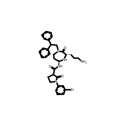 CCc1cccc(N2CCC(C(=O)N[C@H]3CCN(CC(c4ccccc4)c4ccccc4)C(=O)[C@H](CCCN)N3)C2=O)c1